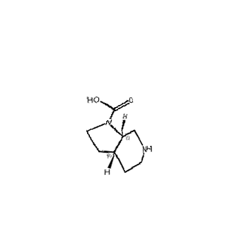 O=C(O)N1CC[C@H]2CCNC[C@H]21